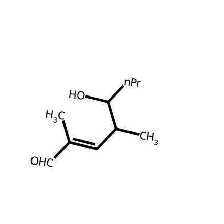 CCCC(O)C(C)/C=C(\C)C=O